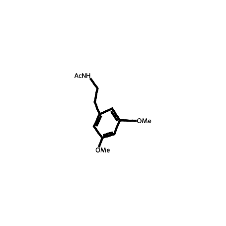 COc1cc(CCNC(C)=O)cc(OC)c1